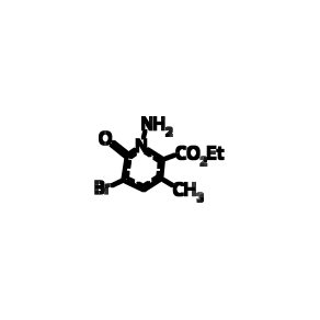 CCOC(=O)c1c(C)cc(Br)c(=O)n1N